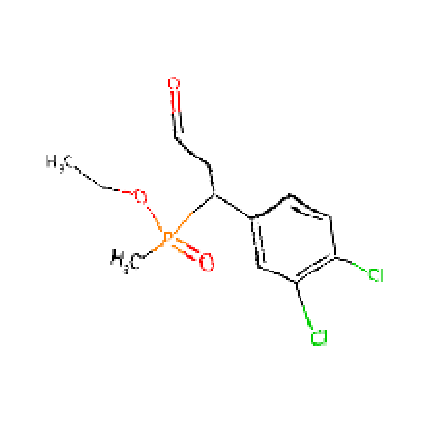 CCOP(C)(=O)C(CC=O)c1ccc(Cl)c(Cl)c1